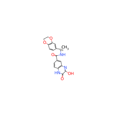 C[C@H](NC(=O)c1ccc2[nH]c(=O)c(O)nc2c1)c1ccc2c(c1)OCCO2